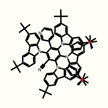 CC(C)(C)c1ccc2c(c1)c1cc(C(C)(C)C)ccc1n2-c1c(C#N)c(-n2c3ccc(C(C)(C)C)cc3c3cc(C(C)(C)C)ccc32)c(-n2c3ccc(C(C)(C)C)cc3c3cc(C(C)(C)C)ccc32)c(-n2c3ccc(C(C)(C)C)cc3c3cc(C(C)(C)C)ccc32)c1-c1cccnc1